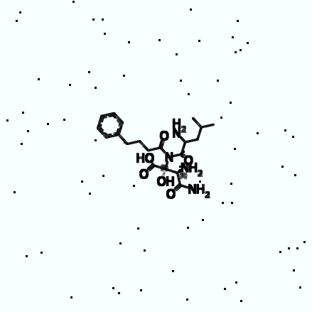 CC(C)CC(N)C(=O)N(C(=O)CCCc1ccccc1)[C@](O)(C(=O)O)[C@@H](N)C(N)=O